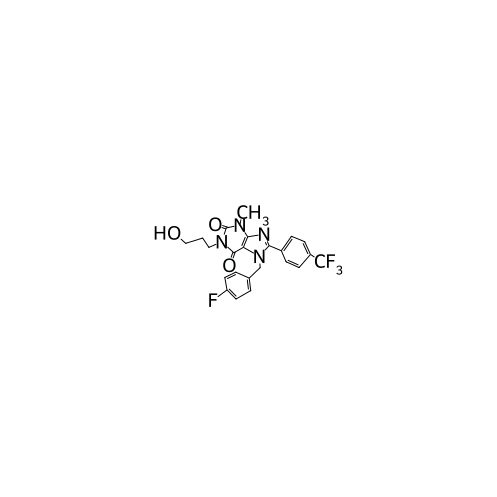 Cn1c(=O)n(CCCO)c(=O)c2c1nc(-c1ccc(C(F)(F)F)cc1)n2Cc1ccc(F)cc1